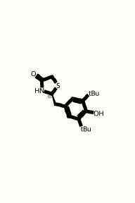 CC(C)(C)c1cc(C[C@H]2NC(=O)CS2)cc(C(C)(C)C)c1O